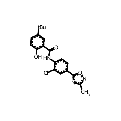 Cc1noc(-c2ccc(NC(=O)c3cc(C(C)(C)C)ccc3O)c(Cl)c2)n1